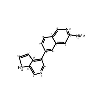 CNc1cc2cc(-c3cncc4[nH]ccc34)ccc2cn1